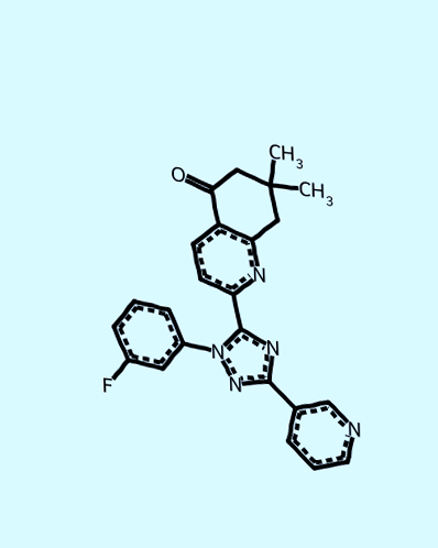 CC1(C)CC(=O)c2ccc(-c3nc(-c4cccnc4)nn3-c3cccc(F)c3)nc2C1